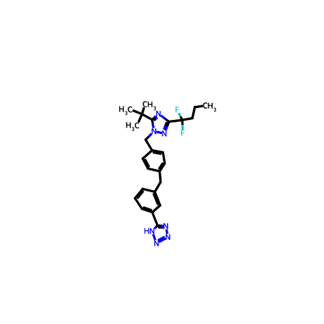 CCCC(F)(F)c1nc(C(C)(C)C)n(Cc2ccc(Cc3cccc(-c4nnn[nH]4)c3)cc2)n1